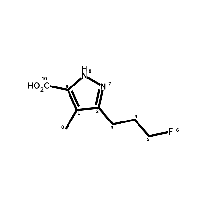 Cc1c(CCCF)n[nH]c1C(=O)O